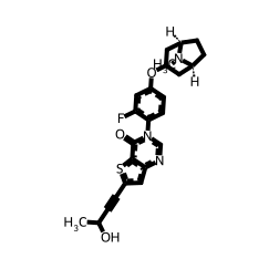 CC(O)C#Cc1cc2ncn(-c3ccc(OC4C[C@H]5CC[C@@H](C4)N5C)cc3F)c(=O)c2s1